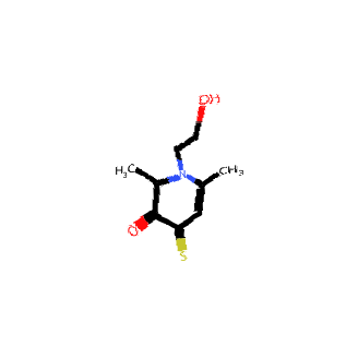 CC1=CC(=S)C(=O)C(C)N1CCO